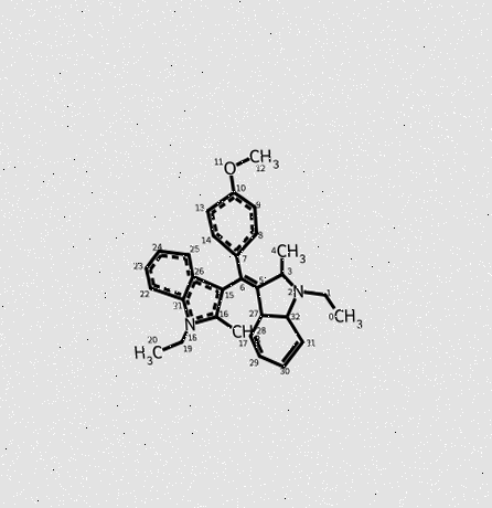 CCN1C(C)C(=C(c2ccc(OC)cc2)c2c(C)n(CC)c3ccccc23)C2C=CC=CC21